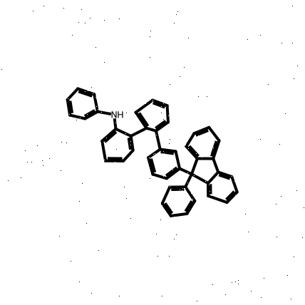 c1ccc(Nc2ccccc2-c2ccccc2-c2cccc(C3(c4ccccc4)c4ccccc4-c4ccccc43)c2)cc1